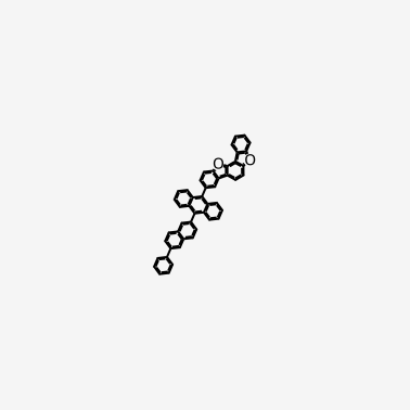 c1ccc(-c2ccc3cc(-c4c5ccccc5c(-c5ccc6oc7c(ccc8oc9ccccc9c87)c6c5)c5ccccc45)ccc3c2)cc1